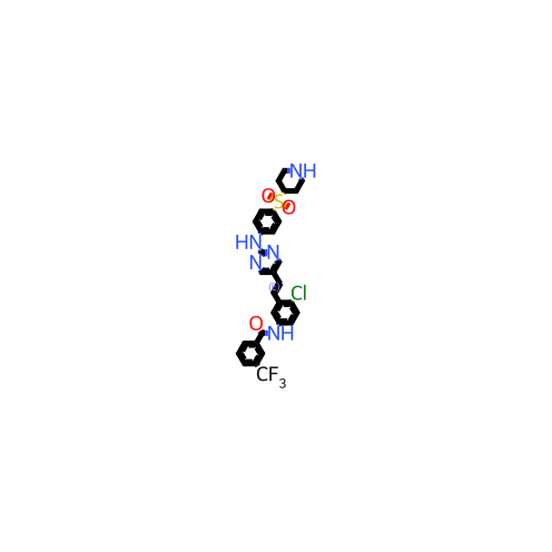 O=C(Nc1ccc(Cl)c(/C=C/c2cnc(Nc3ccc(S(=O)(=O)C4CCNCC4)cc3)nc2)c1)c1cccc(C(F)(F)F)c1